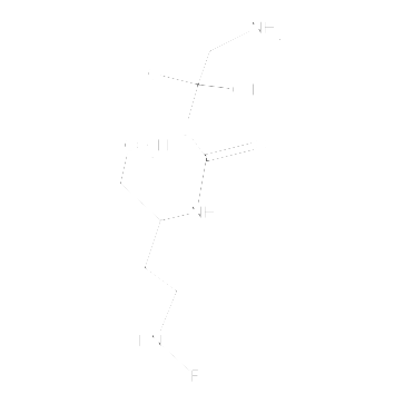 CCNCCC(CC(=O)O)NC(=O)OC(C)(C)CN